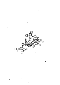 CC(CC(C)(C)c1ccc(C(C)(C)CC(C)NC(=O)c2cccc(C3CN(C)Cc4c(Cl)cc(Cl)cc43)c2)cc1)NC(=O)c1cccc(C2CN(C)Cc3c(Cl)cc(Cl)cc32)c1